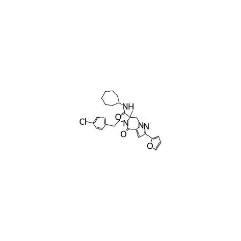 CC1(C(=O)NC2CCCCCC2)Cn2nc(-c3ccco3)cc2C(=O)N1CCc1ccc(Cl)cc1